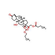 CCCOC(=O)O[C@]1(C(=O)COC(=O)CCC)CC[C@H]2[C@@H]3CCC4=CC(=O)CC[C@]4(C)[C@H]3[C@@H](O)C[C@@]21C